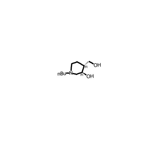 CCCCN1CC[C@H](CO)[C@@H](O)C1